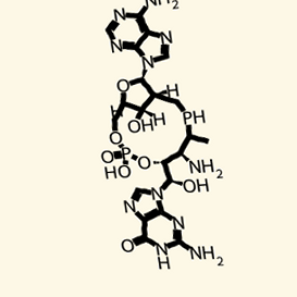 CC1PC[C@@H]2[C@H](O)[C@@H](COP(=O)(O)O[C@@H]([C@@H](O)n3cnc4c(=O)[nH]c(N)nc43)[C@@H]1N)O[C@H]2n1cnc2c(N)ncnc21